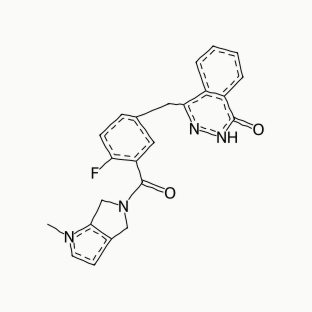 Cn1ccc2c1CN(C(=O)c1cc(Cc3n[nH]c(=O)c4ccccc34)ccc1F)C2